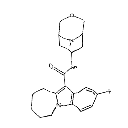 CN1C2COCC1CC(NC(=O)c1c3n(c4ccc(F)cc14)CCCCC3)C2